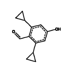 O=Cc1c(C2CC2)cc(O)cc1C1CC1